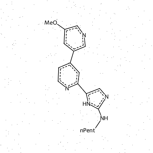 CCCCCNc1ncc(-c2cc(-c3cncc(OC)c3)ccn2)[nH]1